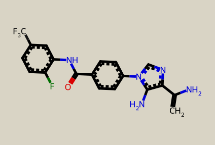 C=C(N)c1ncn(-c2ccc(C(=O)Nc3cc(C(F)(F)F)ccc3F)cc2)c1N